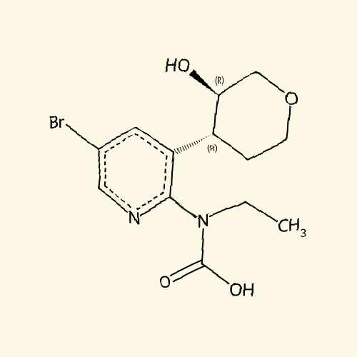 CCN(C(=O)O)c1ncc(Br)cc1[C@H]1CCOC[C@@H]1O